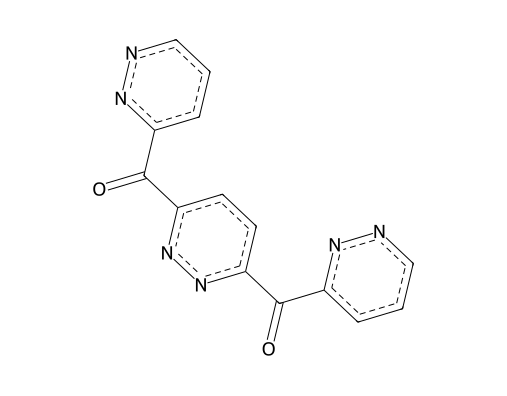 O=C(c1cccnn1)c1ccc(C(=O)c2cccnn2)nn1